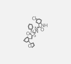 O=C1Nc2ccc(Cl)cc2C1=NN=C1SC(=Cc2ccccc2-c2ccco2)C(=O)N1c1ccccc1